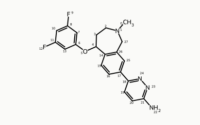 CN1CCC(Oc2cc(F)cc(F)c2)c2ccc(-c3ccc(N)nn3)cc2C1